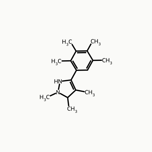 CC1=C(c2cc(C)c(C)c(C)c2C)NN(C)C1C